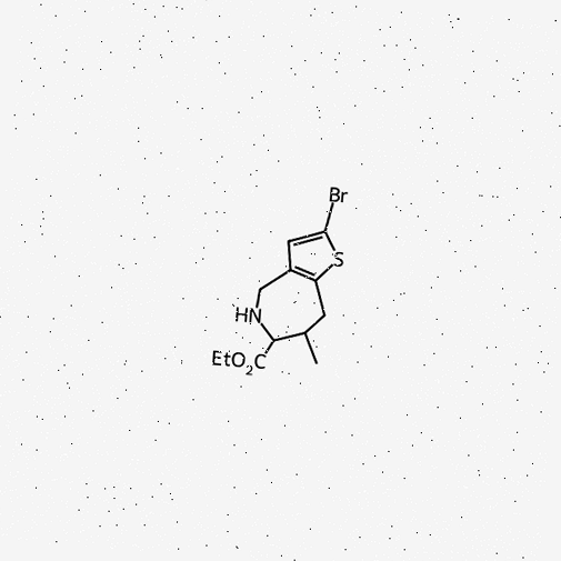 CCOC(=O)C1NCc2cc(Br)sc2CC1C